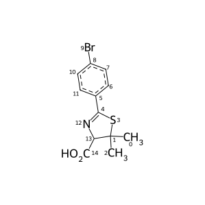 CC1(C)SC(c2ccc(Br)cc2)=NC1C(=O)O